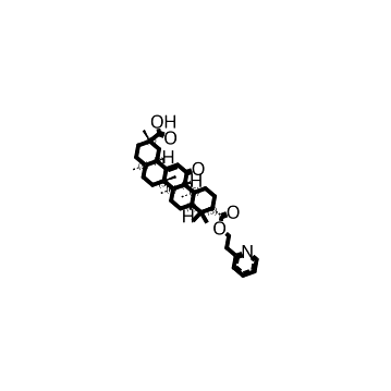 CC1(C)[C@@H](C(=O)OCCc2ccccn2)CC[C@]2(C)[C@H]3C(=O)C=C4[C@@H]5C[C@@](C)(C(=O)O)CC[C@]5(C)CC[C@@]4(C)[C@]3(C)CC[C@@H]12